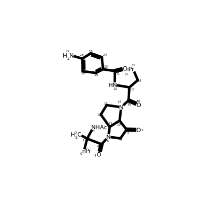 CCCC(C)(NC(C)=O)C(=O)N1CC(=O)C2C1CCN2C(=O)C(CC(C)C)NC(=O)c1ccc(N)cc1